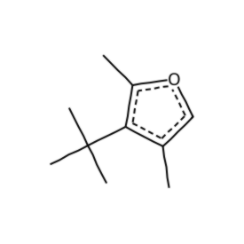 Cc1coc(C)c1C(C)(C)C